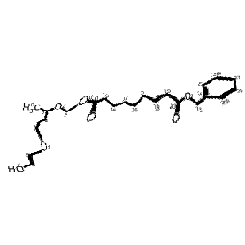 CC(CCOCCO)OCOC(=O)CCCCCCCC(=O)OCc1ccccc1